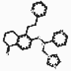 O=C1CCCc2c1ccc(O[C@H](Cn1ccnc1)c1cccnc1)c2CCc1ccccn1